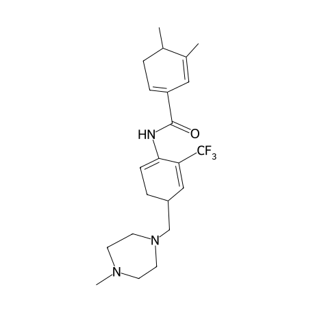 CC1=CC(C(=O)NC2=CCC(CN3CCN(C)CC3)C=C2C(F)(F)F)=CCC1C